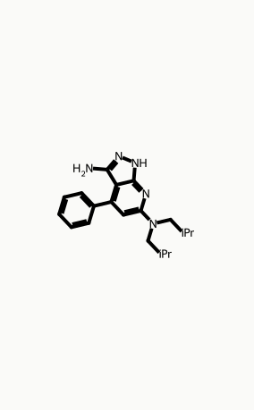 CC(C)CN(CC(C)C)c1cc(-c2ccccc2)c2c(N)n[nH]c2n1